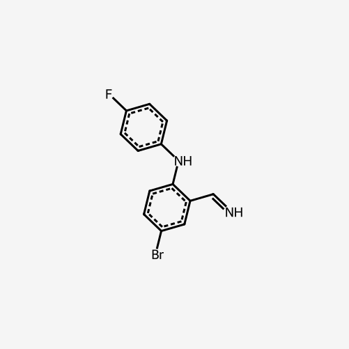 N=Cc1cc(Br)ccc1Nc1ccc(F)cc1